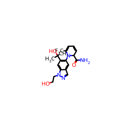 CC(C)(O)c1cc2c(cnn2CCO)cc1N1C(C(F)(F)F)=CC=CC1C(N)=O